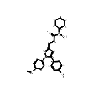 COc1ccc(-n2nc(CCC(=O)N(O)C3CCCCC3)cc2-c2ccc(Cl)cc2)cc1